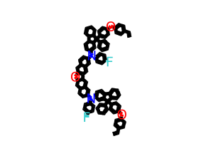 C=CC1=CC=C(OC2=CCC(C3(C4=CCCC=C4)c4ccccc4-c4ccc(N(C5=CC=C(F)CC5)C5=CC6=CC7C8=C(CC9C=CC(N(C%10=CC%11C(C=C%10)C%10C=CCCC%10C%11(C%10=CCC(Oc%11ccc(C=C)cc%11)C=C%10)c%10ccccc%10)c%10ccc(F)cc%10)=CC9=C8)OC7CC6CC5)cc43)C=C2)CC1